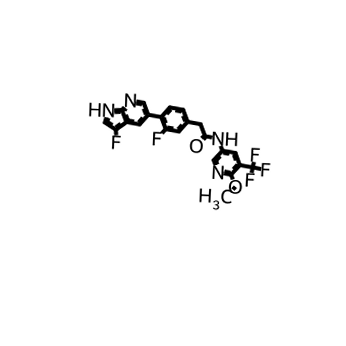 COc1ncc(NC(=O)Cc2ccc(-c3cnc4[nH]cc(F)c4c3)c(F)c2)cc1C(F)(F)F